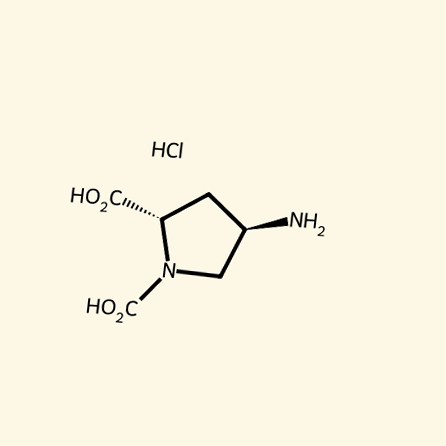 Cl.N[C@@H]1C[C@@H](C(=O)O)N(C(=O)O)C1